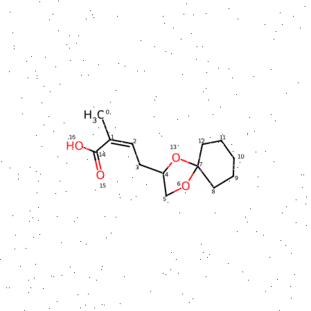 CC(=CCC1COC2(CCCCC2)O1)C(=O)O